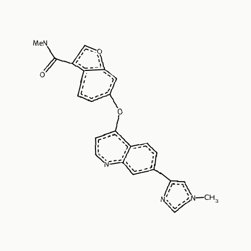 CNC(=O)c1coc2cc(Oc3ccnc4cc(-c5cn(C)cn5)ccc34)ccc12